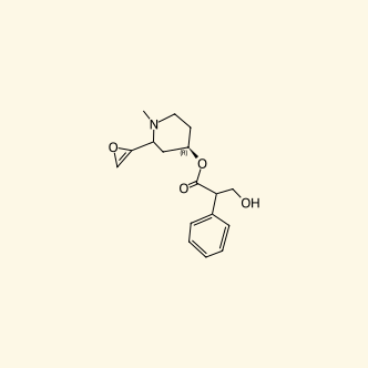 CN1CC[C@@H](OC(=O)C(CO)c2ccccc2)CC1C1=CO1